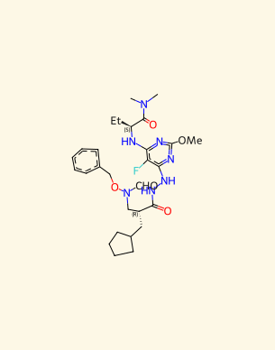 CC[C@H](Nc1nc(OC)nc(NNC(=O)[C@H](CC2CCCC2)CN(C=O)OCc2ccccc2)c1F)C(=O)N(C)C